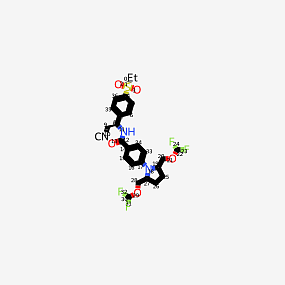 CCS(=O)(=O)c1ccc([C@H](CC#N)NC(=O)c2ccc(N3C(COC(F)F)CCC3COC(F)F)cc2)cc1